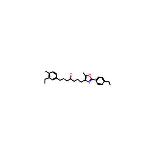 CCc1ccc(-c2nc(CCCC(=O)CCCc3ccc(C)c(CC)c3)c(C)o2)cc1